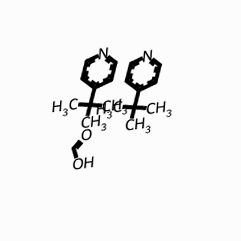 CC(C)(C)c1ccncc1.CC(C)(C)c1ccncc1.O=CO